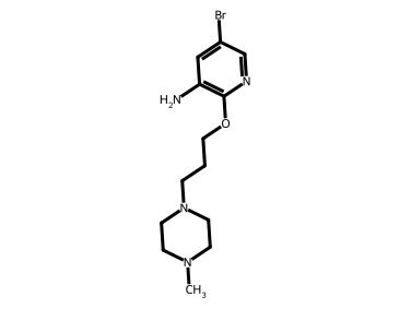 CN1CCN(CCCOc2ncc(Br)cc2N)CC1